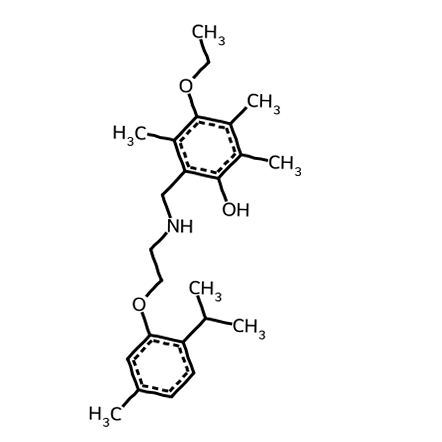 CCOc1c(C)c(C)c(O)c(CNCCOc2cc(C)ccc2C(C)C)c1C